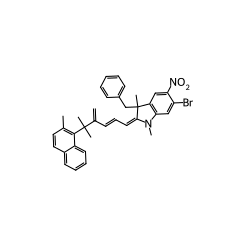 C=C(/C=C/C=C1/N(C)c2cc(Br)c([N+](=O)[O-])cc2C1(C)Cc1ccccc1)C(C)(C)c1c(C)ccc2ccccc12